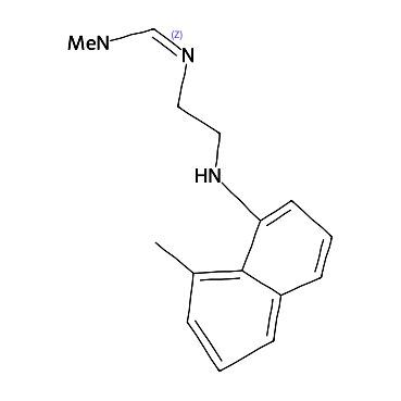 CN/C=N\CCNc1cccc2cccc(C)c12